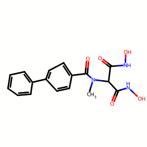 CN(C(=O)c1ccc(-c2ccccc2)cc1)C(C(=O)NO)C(=O)NO